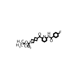 CC(C)(C)OC(=O)N1CC2(CC(C(=O)c3cccc(NC(=O)c4ccc(F)cc4)n3)C2)C1